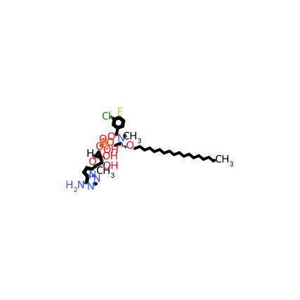 CCCCCCCCCCCCCCCCCCOC[C@H](COP(=O)(O)OC1[C@H]2O[C@@](C)(c3ccc4c(N)ncnn34)[C@H](O)[C@@]12O)N(C)C(=O)c1ccc(F)c(Cl)c1